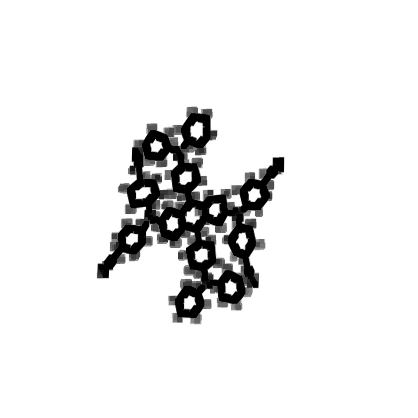 N#Cc1ccc(N(c2ccc(C#N)cc2)c2ccc3c(-c4ccc(N(c5ccccc5)c5ccccc5)cc4)c4cc(N(c5ccc(C#N)cc5)c5ccc(C#N)cc5)ccc4c(-c4ccc(N(c5ccccc5)c5ccccc5)cc4)c3c2)cc1